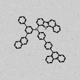 c1ccc(-c2cc(-c3ccc4ccccc4c3)cc(N(c3ccc(-c4ccc(-c5cc6ccccc6c6ccccc56)cc4)cc3)c3cccc4c3sc3c5ccccc5ccc43)c2)cc1